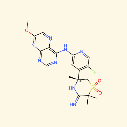 COc1cnc2c(Nc3cc([C@]4(C)CS(=O)(=O)C(C)(C)C(=N)N4)c(F)cn3)ncnc2n1